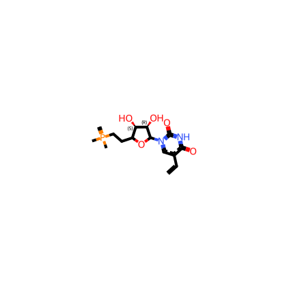 C=Cc1cn(C2OC(CCP(=C)(C)C)[C@@H](O)[C@H]2O)c(=O)[nH]c1=O